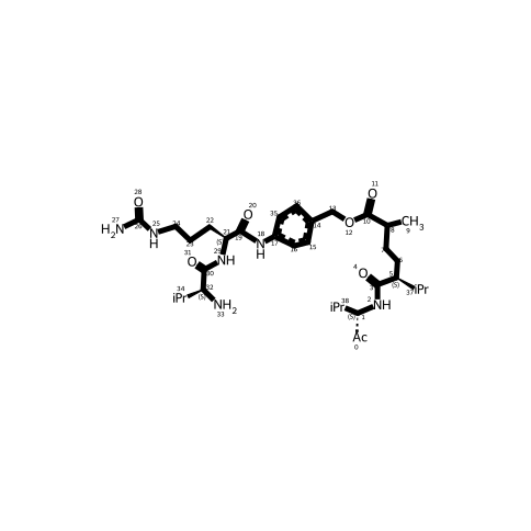 CC(=O)[C@@H](NC(=O)[C@@H](CCC(C)C(=O)OCc1ccc(NC(=O)[C@H](CCCNC(N)=O)NC(=O)[C@@H](N)C(C)C)cc1)C(C)C)C(C)C